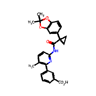 Cc1ccc(NC(=O)C2(c3ccc4c(c3)OC(C)(C)O4)CC2)nc1-c1cccc(C(=O)O)c1